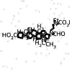 C=C(C)[C@@H]1C[C@H](N(C=O)CCCN(CC)CC(=O)O)C2CC[C@]3(C)[C@H](CC[C@@H]4[C@@]5(C)CC=C(c6ccc(C(=O)O)cc6)C(C)(C)[C@@H]5CC[C@]43C)[C@H]21